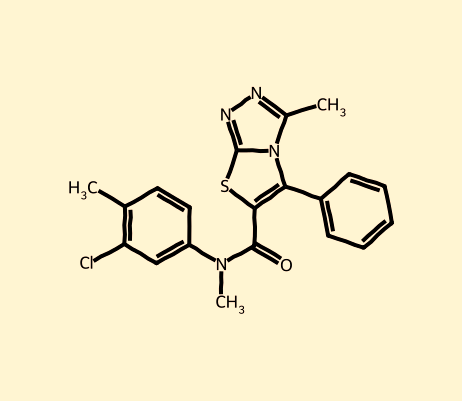 Cc1ccc(N(C)C(=O)c2sc3nnc(C)n3c2-c2ccccc2)cc1Cl